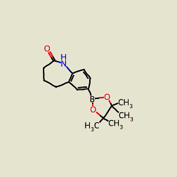 CC1(C)OB(c2ccc3c(c2)CCCC(=O)N3)OC1(C)C